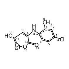 Cc1cc(Cl)ccc1NC(=CC(=O)O)C(=O)O